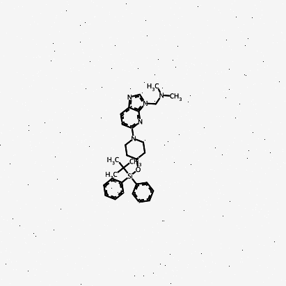 CN(C)Cn1cnc2ccc(N3CCC(O[Si](c4ccccc4)(c4ccccc4)C(C)(C)C)CC3)nc21